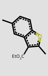 CCOC(=O)c1c(C)sc2ccc(C)cc12